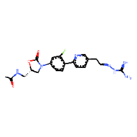 CC(=O)NC[C@H]1CN(c2ccc(-c3ccc(CC=NNC(=N)N)cn3)c(F)c2)C(=O)O1